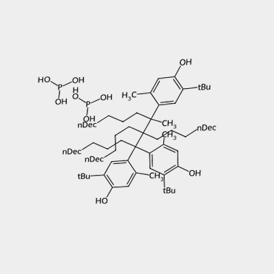 CCCCCCCCCCCCCC(C)(c1cc(C(C)(C)C)c(O)cc1C)C(CCCCCCCCCCCCC)(CCCCCCCCCCCCC)C(CCCCCCCCCCCCC)(c1cc(C(C)(C)C)c(O)cc1C)c1cc(C(C)(C)C)c(O)cc1C.OP(O)O.OP(O)O